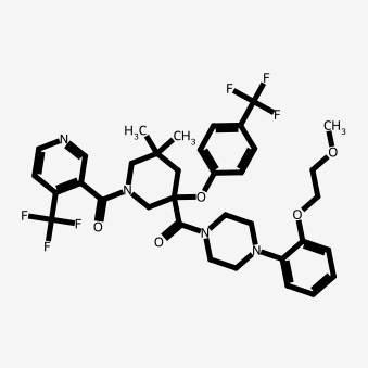 COCCOc1ccccc1N1CCN(C(=O)C2(Oc3ccc(C(F)(F)F)cc3)CN(C(=O)c3cnccc3C(F)(F)F)CC(C)(C)C2)CC1